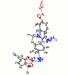 COCCOc1ccc2c(N)c(-c3ccc(NC(=O)O[C@H](C)c4ccc(F)cc4)cc3)n(C(C)C)c2c1